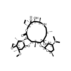 CC[C@H]1OC(=O)[C@H](C)[C@@H](O[C@H]2C[C@@](C)(OC)[C@]3(CO3)[C@H](C)O2)[C@H](C)[C@@H](O[C@@H]2O[C@H](C)C[C@H](N(C)C)[C@H]2C)[C@](C)(O)C[C@@H](C)CN[C@H](C)[C@@H](O)[C@]1(C)O